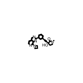 CN1CCC(O)(C#Cc2cccc(-c3ncc4ccnc(N5CCC5)c4n3)c2)C1=O